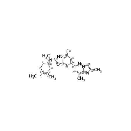 CCN1CC[C@@H](N(C)c2nc3c(F)cc(-c4cc(C)c5nc(C)cn5n4)cc3o2)C[C@H]1C